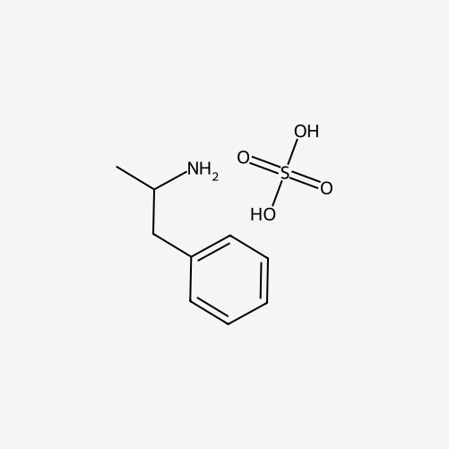 CC(N)Cc1ccccc1.O=S(=O)(O)O